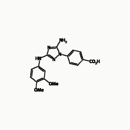 COc1ccc(Nc2nc(N)n(-c3ccc(C(=O)O)cc3)n2)cc1OC